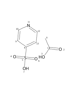 CC(=O)O.O=S(=O)(O)c1ccncc1